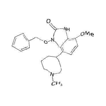 COc1ccc(C2CCCN(C)C2)c2c1[nH]c(=O)n2OCc1ccccc1